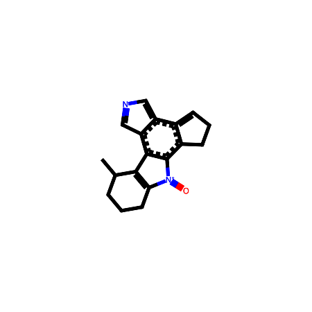 CC1CCCC2=C1c1c(c3c(c4c1C=NC=4)=CCC3)[N+]2=O